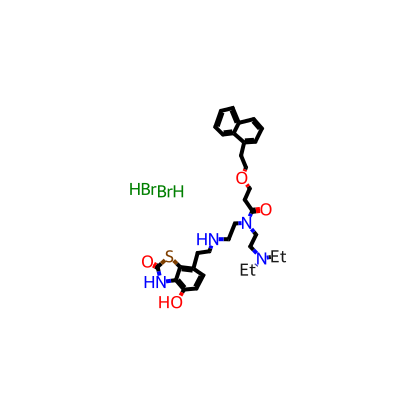 Br.Br.CCN(CC)CCN(CCNCCc1ccc(O)c2[nH]c(=O)sc12)C(=O)CCOCCc1cccc2ccccc12